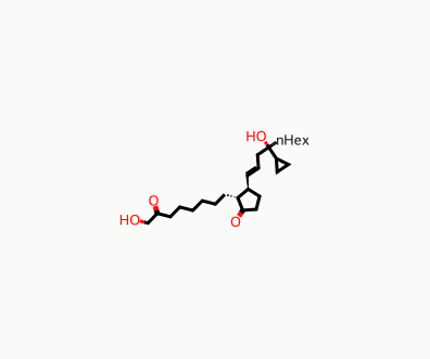 CCCCCCC(O)(CC=C[C@H]1CCC(=O)[C@@H]1CCCCCCC(=O)CO)C1CC1